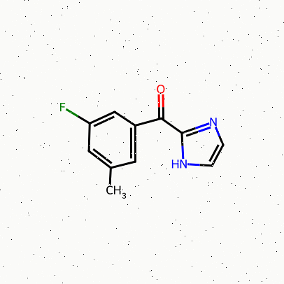 Cc1cc(F)cc(C(=O)c2ncc[nH]2)c1